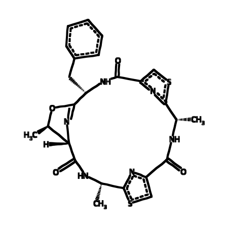 C[C@@H]1NC(=O)c2csc(n2)[C@H](C)NC(=O)[C@H]2N=C(O[C@@H]2C)[C@H](Cc2ccccc2)NC(=O)c2csc1n2